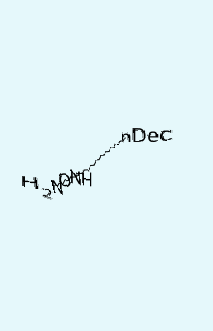 CCCCCCCCCCCCCCCCCCCCCCCCCCCCNCCOCCN